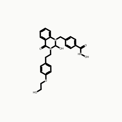 O=C(NO)c1ccc(CN2c3ccccc3C(=O)N(CCc3ccc(OCCO)cc3)C2O)cc1